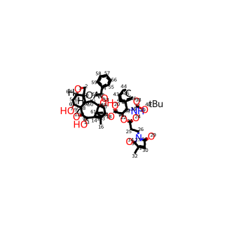 CC(=O)O[C@@]12CO[C@@H]1C[C@H](O)[C@@]1(C)C(=O)[C@H](O)C3=C(C)[C@@H](OC(=O)[C@H](OC(=O)CCN4C(=O)C=C(C)C4=O)[C@@H](NC(=O)OC(C)(C)C)c4ccccc4)C[C@@](O)([C@@H](CC(=O)c4ccccc4)[C@H]21)C3(C)C